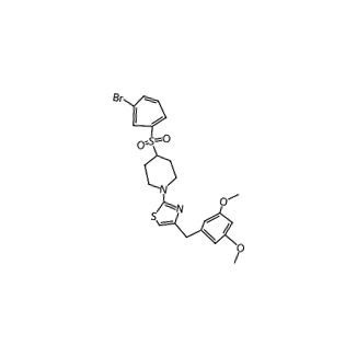 COc1cc(Cc2csc(N3CCC(S(=O)(=O)c4cccc(Br)c4)CC3)n2)cc(OC)c1